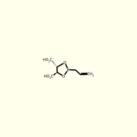 C=CCB1O[C@@H](C(=O)O)[C@H](C(=O)O)O1